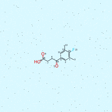 Cc1cc(C(=O)CCC(=O)O)cc(C)c1F